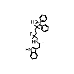 C[C@H](Cc1c[nH]c2ccccc12)NCC(C)(F)CCC(C)(C)[Si](O)(c1ccccc1)c1ccccc1